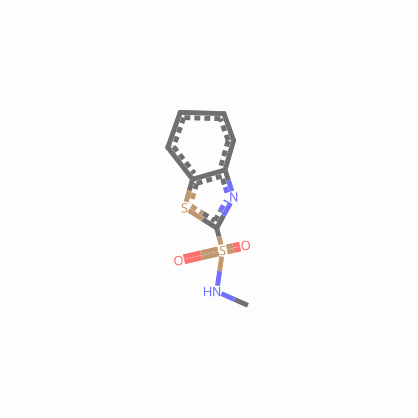 CNS(=O)(=O)c1nc2ccccc2s1